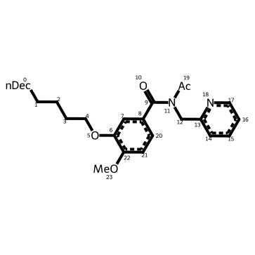 CCCCCCCCCCCCCCOc1cc(C(=O)N(Cc2ccccn2)C(C)=O)ccc1OC